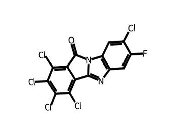 O=C1c2c(Cl)c(Cl)c(Cl)c(Cl)c2-c2nc3cc(F)c(Cl)cc3n21